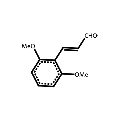 COc1cccc(OC)c1C=C[C]=O